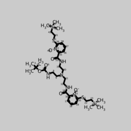 CC(C)(C)OC(=O)NCCN(CCNC(=O)c1cccc(SCC[Si](C)(C)C)[n+]1[O-])CCNC(=O)c1cccc(SCC[Si](C)(C)C)[n+]1[O-]